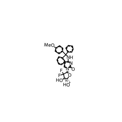 COc1ccc(C(Nc2ccn([C@@H]3O[C@H](CO)[C@@H](O)C3(F)F)c(=O)n2)(c2ccccc2)c2ccccc2)cc1